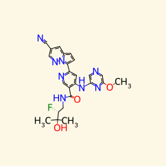 COc1cncc(Nc2cc(-c3ccc4cc(C#N)cnn34)ncc2C(=O)NC[C@@H](F)C(C)(C)O)n1